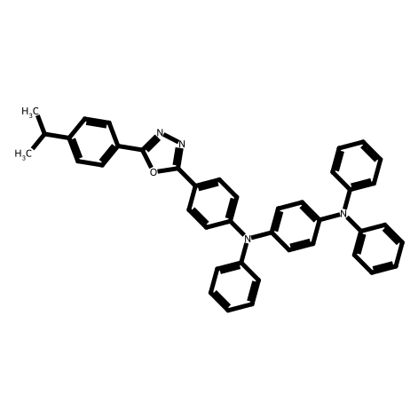 CC(C)c1ccc(-c2nnc(-c3ccc(N(c4ccccc4)c4ccc(N(c5ccccc5)c5ccccc5)cc4)cc3)o2)cc1